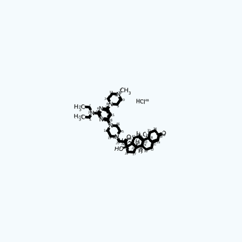 CCN(CC)c1nc(N2CCN(C)CC2)cc(N2CCN(CC(=O)[C@@]3(O)CC[C@H]4[C@@H]5CCC6=CC(=O)CC[C@]6(C)C5=CC[C@@]43C)CC2)n1.Cl